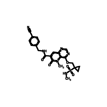 CNS(=O)(=O)C1(COc2ncnc3cc(C(=O)NCc4ccc(C#N)cc4)c(=O)n(C)c23)CC1